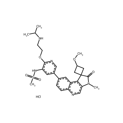 COC1CC2(C1)C(=O)N(C)c1cnc3ccc(-c4cnc(OCCNC(C)C)c(NS(C)(=O)=O)c4)cc3c12.Cl